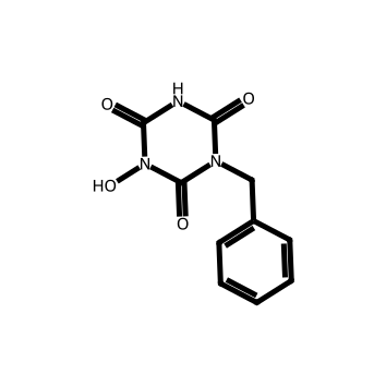 O=c1[nH]c(=O)n(Cc2ccccc2)c(=O)n1O